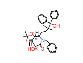 CC1(C)O[C@H]2[C@H](O1)[C@@H](CCC(C)(C)[Si](O)(c1ccccc1)c1ccccc1)N(Cc1ccccc1)C(=O)[C@H]2O